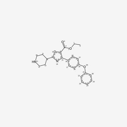 CCOC(=O)c1oc(C2CCNCC2)nc1-c1ccc(Oc2ccccc2)cc1